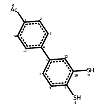 CC(=O)c1ccc(-c2ccc(S)c(S)c2)cc1